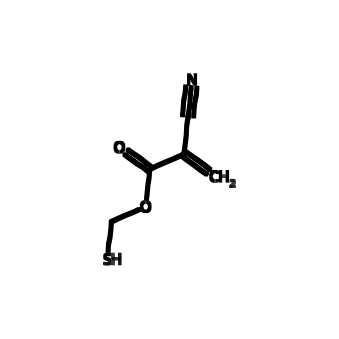 C=C(C#N)C(=O)OCS